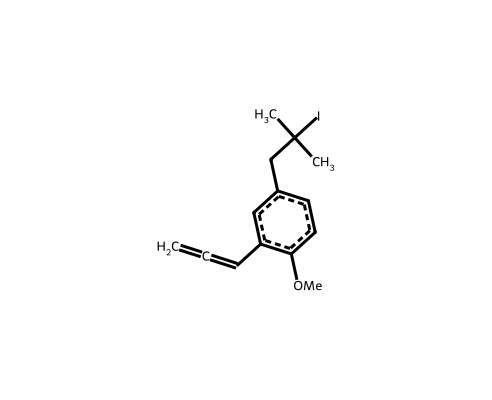 C=C=Cc1cc(CC(C)(C)I)ccc1OC